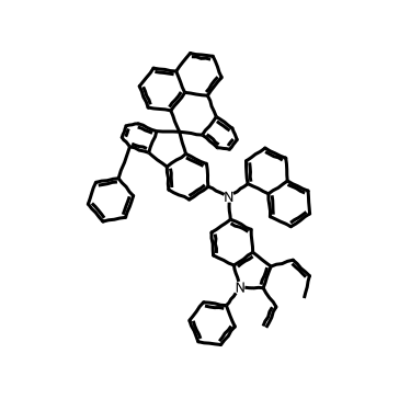 C=Cc1c(/C=C\C)c2cc(N(c3ccc4c(c3)C3(c5ccccc5-c5cccc6cccc3c56)c3cccc(-c5ccccc5)c3-4)c3cccc4ccccc34)ccc2n1-c1ccccc1